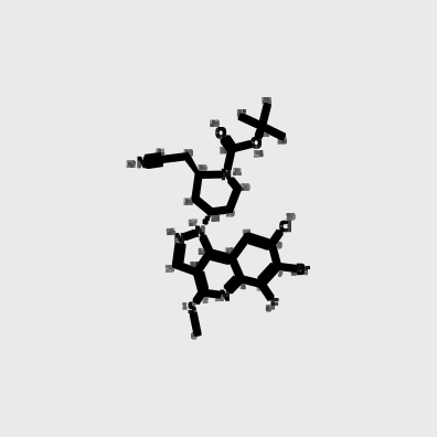 CSc1nc2c(F)c(Br)c(Cl)cc2c2c1cnn2[C@H]1CCN(C(=O)OC(C)(C)C)[C@H](CC#N)C1